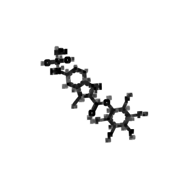 CCCCS(=O)(=O)Nc1ccc2[nH]c(C(=O)Oc3c(F)c(F)c(F)c(F)c3F)c(C)c2c1